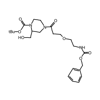 CC(C)(C)OC(=O)N1CCN(C(=O)CCOCCNC(=O)OCc2ccccc2)CC1CO